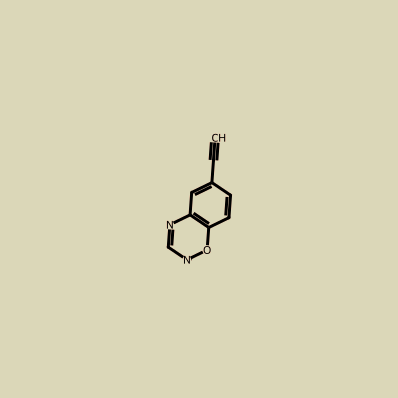 C#Cc1ccc2c(c1)N=C[N]O2